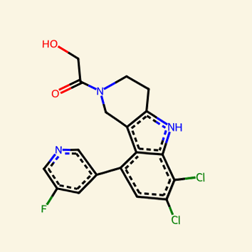 O=C(CO)N1CCc2[nH]c3c(Cl)c(Cl)cc(-c4cncc(F)c4)c3c2C1